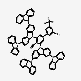 Cc1cc(-c2cc(-n3c4ccc(-n5c6ccccc6c6ccccc65)cc4c4cc(-n5c6ccccc6c6ccccc65)ccc43)c(C#N)c(-n3c4ccc(-n5c6ccccc6c6ccccc65)cc4c4cc(-n5c6ccccc6c6ccccc65)ccc43)c2)cc(C(F)(F)F)c1